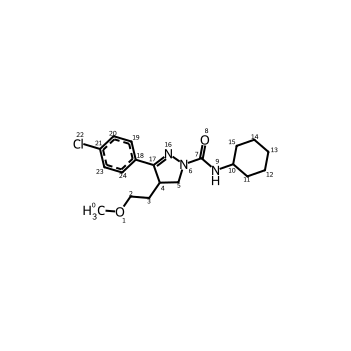 COCCC1CN(C(=O)NC2CCCCC2)N=C1c1ccc(Cl)cc1